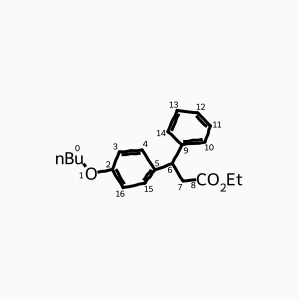 CCCCOc1ccc(C(CC(=O)OCC)c2ccccc2)cc1